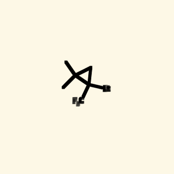 CCC1(C(F)(F)F)CC1(C)C